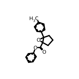 Cc1ccc(C23CCCC2(C(=O)Oc2ccccc2)O3)cc1